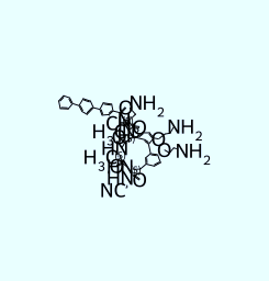 Cc1cc(-c2ccc(-c3ccccc3)cc2)ccc1C(=O)N[C@@H](CCN)C(=O)N(C)[C@@H]1C(=O)N[C@@H](C)C(=O)N[C@H](C(=O)NCC#N)Cc2ccc(OCCN)c(c2)-c2cc1ccc2OCCN